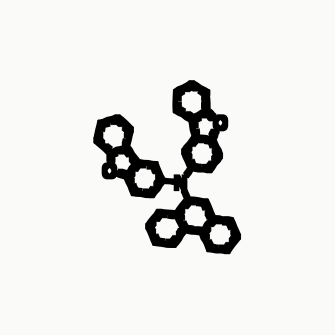 c1ccc2c(c1)cc(N(c1ccc3oc4ccccc4c3c1)c1ccc3oc4ccccc4c3c1)c1ccccc12